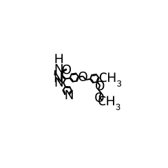 COCCOc1cc(COc2ccc(-c3c(-c4ccncc4)nn4c3C(=O)NCC4)cc2)ccc1C